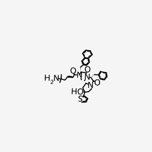 CN(C(=O)C=CCC(C)(C)N)[C@H](Cc1ccc2ccccc2c1)C(=O)N(C)[C@H](Cc1ccccc1)C(=O)N1CCC(O)(c2cccs2)CC1